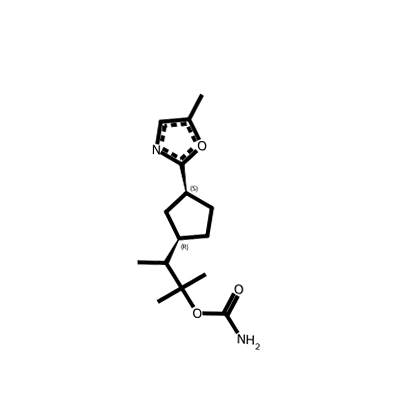 Cc1cnc([C@H]2CC[C@@H](C(C)C(C)(C)OC(N)=O)C2)o1